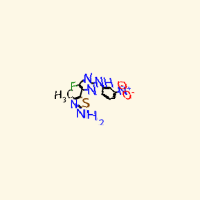 Cc1nc(N)sc1-c1nc(Nc2cccc([N+](=O)[O-])c2)ncc1F